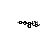 C=C(Cc1ccccc1N)c1ccc(-c2ccc(-c3ccc(F)cc3)cc2)c2ccccc12